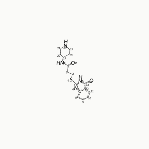 O=C(CCSc1nc2ccccc2c(=O)[nH]1)NC1CCNCC1